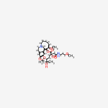 COCCCNC(=O)C[C@](O)(CCCC(C)(C)O)C(=O)O[C@@H]1/C(OC)=C\CCCCN2CCc3cc4c(cc3[C@H]1C2)OCO4